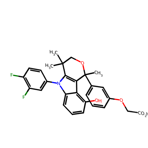 CC1(C)COC(C)(c2cccc(OCC(=O)O)c2)c2c1n(-c1ccc(F)c(F)c1)c1cccc(O)c21